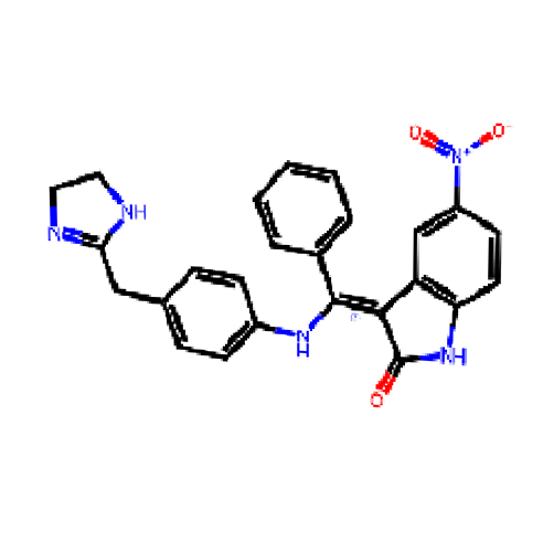 O=C1Nc2ccc([N+](=O)[O-])cc2/C1=C(/Nc1ccc(CC2=NCCN2)cc1)c1ccccc1